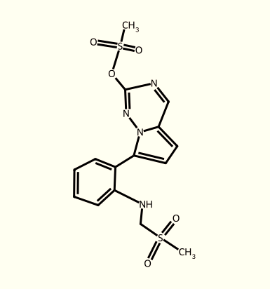 CS(=O)(=O)CNc1ccccc1-c1ccc2cnc(OS(C)(=O)=O)nn12